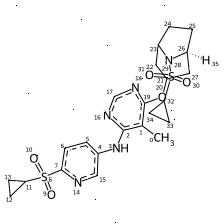 Cc1c(Nc2ccc(S(=O)(=O)C3CC3)nc2)ncnc1OC1CC2CC[C@@H](C1)N2S(=O)(=O)C1CC1